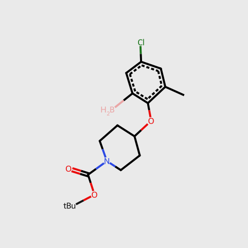 Bc1cc(Cl)cc(C)c1OC1CCN(C(=O)OC(C)(C)C)CC1